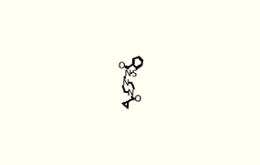 O=C(C1CC1)N1CCN(Cn2sc3ccccc3c2=O)CC1